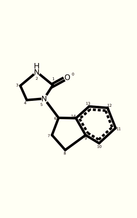 O=C1NCCN1C1CCc2ccccc21